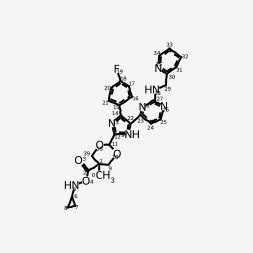 CC1(C(=O)ONC2CC2)COC(c2nc(-c3ccc(F)cc3)c(-c3ccnc(NCc4ccccn4)n3)[nH]2)OC1